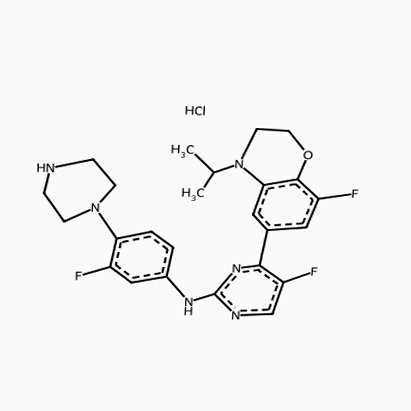 CC(C)N1CCOc2c(F)cc(-c3nc(Nc4ccc(N5CCNCC5)c(F)c4)ncc3F)cc21.Cl